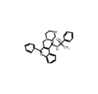 CC(C)(NC(=O)c1c(CN2CCNCC2)c(-c2ccccc2)nc2ccccc12)c1ccccc1